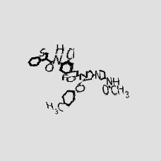 CC(=O)N[C@H]1CCN([C@H]2C[C@@H](CO[C@H]3CC[C@H](C)CC3)N(C(=O)Cc3cc(Cl)c(NC(=O)c4csc5ccccc45)cc3F)C2)C1